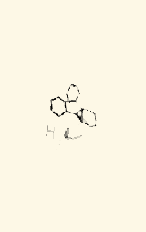 CC1=C(c2ccccc2)C2(c3ccccc3)CCC1C2